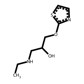 CCNCC(O)COc1nccs1